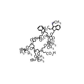 C=CC1=C(/C=C\C)c2ccccc2C1COC(=O)N(C)N(C)Cc1cc2ccccc2n1CCC(=O)NCC(=O)N(CCO[Si](C)(C)C(C)(C)C)CC(=O)N(CCO[Si](C)(C)C(C)(C)C)CC(=O)N(CCO[Si](C)(C)C(C)(C)C)CCC(=O)O